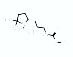 CC(C)(C)OC(=O)NCCC[C@H]1CCC(C)(C)N1C(=O)O